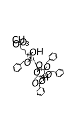 COC(=O)CCC[C@@H](O)[C@H](CCO[C@H]1OC2COC(c3ccccc3)O[C@@H]2C(OCc2ccccc2)C1OCc1ccccc1)OCc1ccccc1